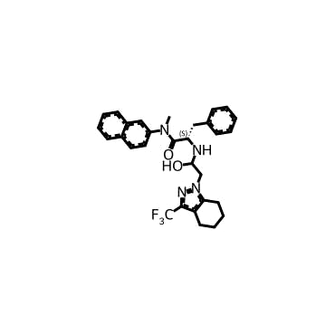 CN(C(=O)[C@H](Cc1ccccc1)NC(O)Cn1nc(C(F)(F)F)c2c1CCCC2)c1ccc2ccccc2c1